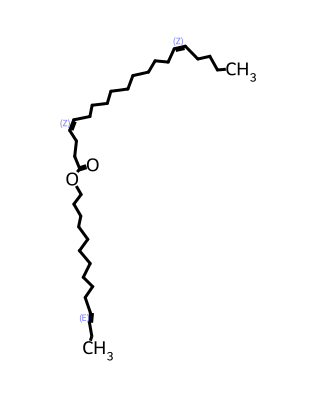 CC/C=C/CCCCCCCCCCOC(=O)CC/C=C\CCCCCCCCC/C=C\CCCC